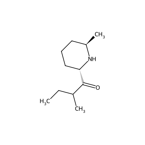 CCC(C)C(=O)[C@@H]1CCC[C@@H](C)N1